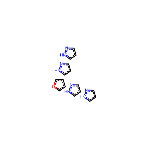 c1ccoc1.c1cn[nH]c1.c1cn[nH]c1.c1cn[nH]c1.c1cn[nH]c1